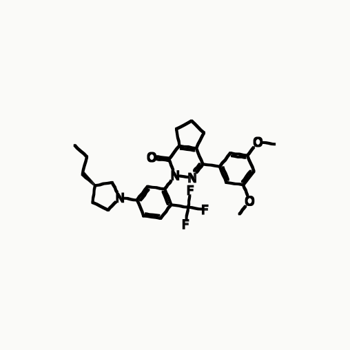 CCC[C@@H]1CCN(c2ccc(C(F)(F)F)c(-n3nc(-c4cc(OC)cc(OC)c4)c4c(c3=O)CCC4)c2)C1